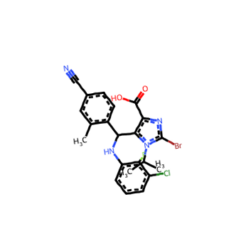 Cc1cc(C#N)ccc1C(Nc1cccc(Cl)c1F)c1c(C(=O)O)nc(Br)n1C(C)C